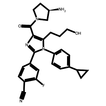 N#Cc1ccc(-c2nc(C(=O)N3CC[C@@H](N)C3)c(CCCO)n2-c2ccc(C3CC3)cc2)cc1F